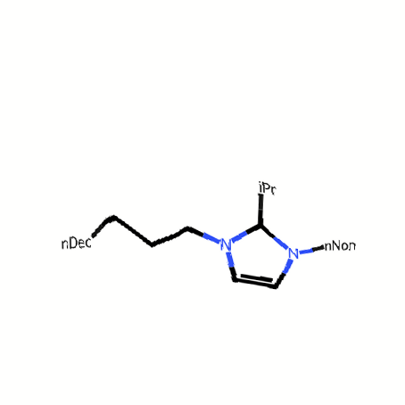 CCCCCCCCCCCCCN1C=CN(CCCCCCCCC)C1C(C)C